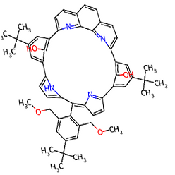 COCc1cc(C(C)(C)C)cc(COC)c1-c1c2nc(c3cc(C(C)(C)C)cc(c3O)c3ccc4ccc5ccc(nc5c4n3)c3cc(C(C)(C)C)cc(c3O)c3ccc1[nH]3)C=C2